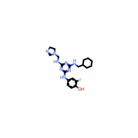 Oc1ccc(Nc2nc(NCC3CCCCC3)nc(NCN3C=NCC3)n2)cc1F